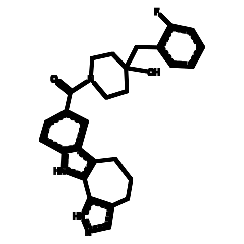 O=C(c1ccc2[nH]c3c(c2c1)CCCc1cn[nH]c1-3)N1CCC(O)(Cc2ccccc2F)CC1